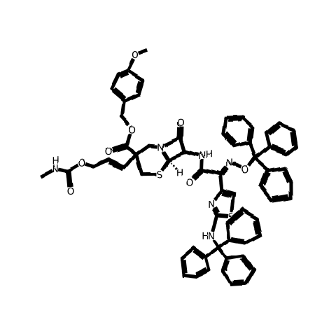 CNC(=O)OCC=CC1(C(=O)OCc2ccc(OC)cc2)CS[C@@H]2C(NC(=O)C(=NOC(c3ccccc3)(c3ccccc3)c3ccccc3)c3csc(NC(c4ccccc4)(c4ccccc4)c4ccccc4)n3)C(=O)N2C1